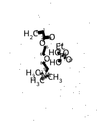 C=CC(=O)OCCOCC[N+](C)(C)C.CCOP(=O)(O)O